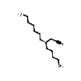 CCCCCCC[C@@H](CC#N)CCCCC